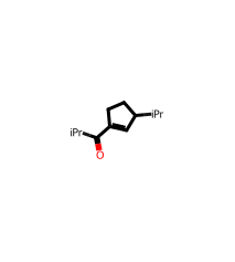 CC(C)C(=O)C1=CC(C(C)C)CC1